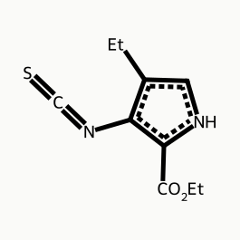 CCOC(=O)c1[nH]cc(CC)c1N=C=S